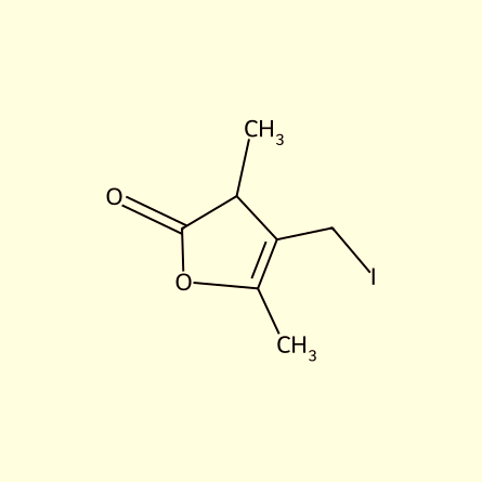 CC1=C(CI)C(C)C(=O)O1